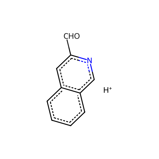 O=Cc1cc2ccccc2cn1.[H+]